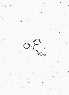 S=C=NCCC(c1ccccc1)c1ccccc1